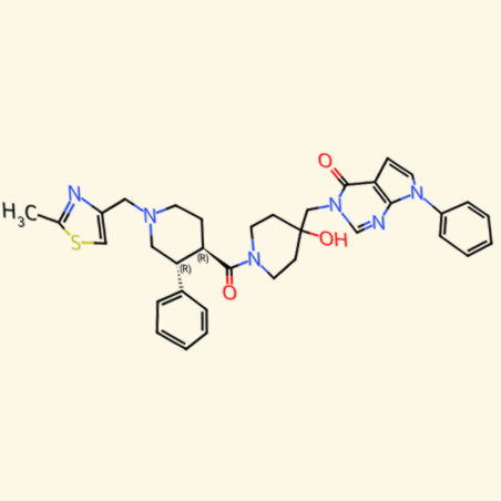 Cc1nc(CN2CC[C@@H](C(=O)N3CCC(O)(Cn4cnc5c(ccn5-c5ccccc5)c4=O)CC3)[C@H](c3ccccc3)C2)cs1